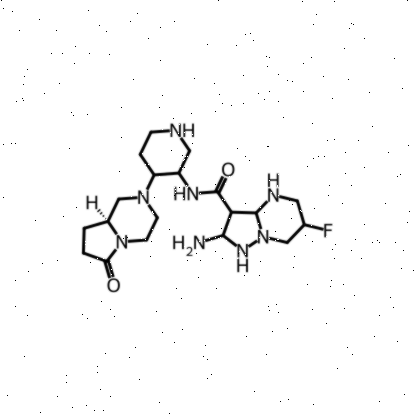 NC1NN2CC(F)CNC2C1C(=O)NC1CNCCC1N1CCN2C(=O)CC[C@H]2C1